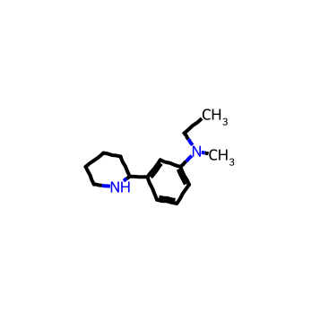 CCN(C)c1cccc(C2CCCCN2)c1